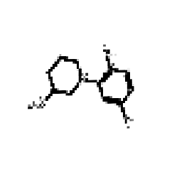 COC1CCCN(c2cc(C(C)C)ccc2[N+](=O)[O-])C1